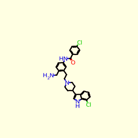 NCc1ccc(NC(=O)c2ccc(Cl)cc2)cc1CCN1CCC(c2c[nH]c3c(Cl)cccc23)CC1